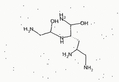 NCC(N)C[C@H](NC(O)CN)C(N)O